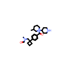 CC1CCC[N+](C(=O)c2ccc(C3(CN(C)C=O)CCC3)cc2)(C2CCNCC2)C1